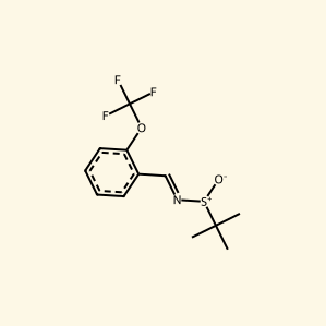 CC(C)(C)[S+]([O-])N=Cc1ccccc1OC(F)(F)F